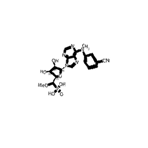 COC([C@@H]1O[C@@H](n2cnc3c(N(C)c4cccc(C#N)c4)ncnc32)[C@H](O)[C@@H]1O)P(=O)(O)O